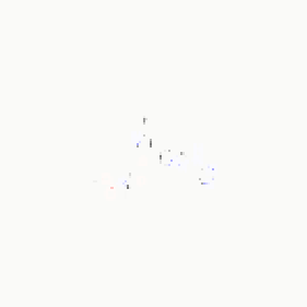 CC#Cc1cc(-c2ccn3nc(Nc4cc(C)nc(C)n4)cc3c2)c(OC[C@@]23C[C@@H](CO2)N(C(=O)OC(C)(C)C)C3)cn1